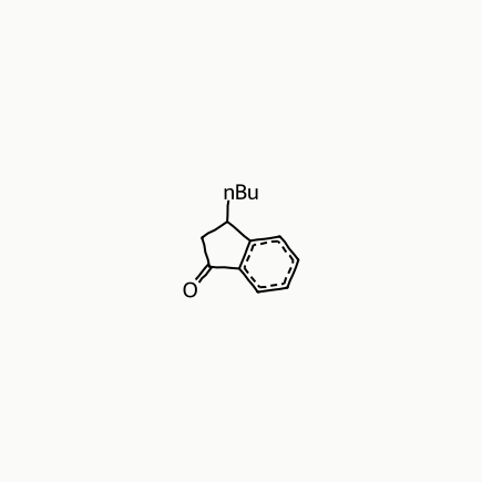 CCCCC1CC(=O)c2ccccc21